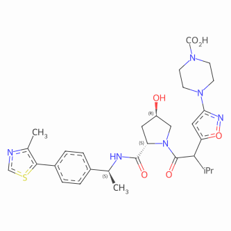 Cc1ncsc1-c1ccc([C@H](C)NC(=O)[C@@H]2C[C@@H](O)CN2C(=O)C(c2cc(N3CCN(C(=O)O)CC3)no2)C(C)C)cc1